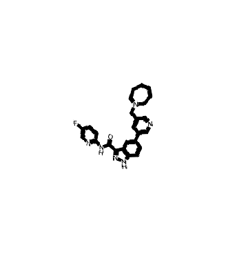 O=C(Nc1ccc(F)cn1)c1n[nH]c2ccc(-c3cncc(CN4CCCCCC4)c3)cc12